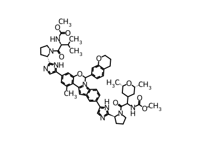 COC(=O)NC(C(=O)N1CCC[C@H]1c1ncc(-c2ccc3c(c2)cc2n3C(c3ccc4c(c3)OCCC4)Oc3cc(-c4cnc([C@@H]5CCCN5C(=O)[C@@H](NC(=O)OC)C(C)C)[nH]4)cc(C)c3-2)[nH]1)C1C[C@@H](C)O[C@@H](C)C1